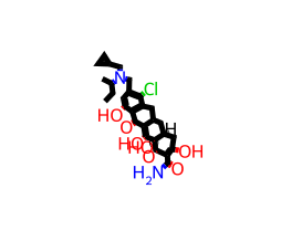 CCC(C)N(Cc1cc(O)c2c(c1Cl)CC1C[C@H]3CC(O)=C(C(N)=O)C(=O)[C@@]3(O)C(O)=C1C2=O)CC1CC1